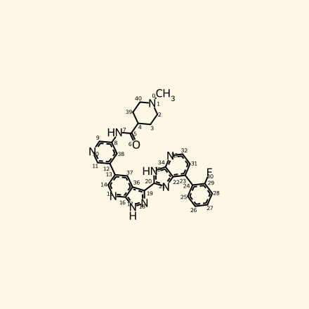 CN1CCC(C(=O)Nc2cncc(-c3cnc4[nH]nc(-c5nc6c(-c7ccccc7F)ccnc6[nH]5)c4c3)c2)CC1